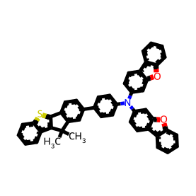 CC1(C)c2cc(-c3ccc(N(c4ccc5c(c4)oc4ccccc45)c4ccc5c(c4)oc4ccccc45)cc3)ccc2-c2sc3ccccc3c21